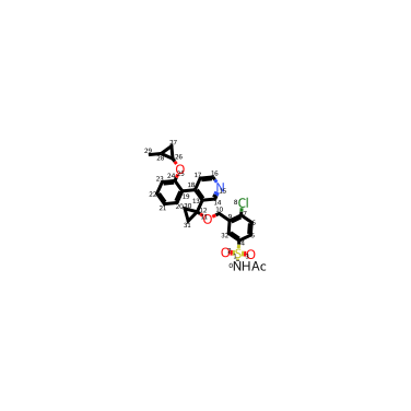 CC(=O)NS(=O)(=O)c1ccc(Cl)c(COC2(c3cnccc3-c3ccccc3OC3CC3C)CC2)c1